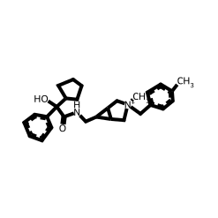 Cc1ccc(C[N+]2(C)CC3C(CNC(=O)C(O)(c4ccccc4)C4CCCC4)C3C2)cc1